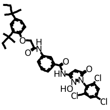 CCC(C)(C)c1ccc(OCC(=O)Nc2cccc(C(=O)Nc3cc(=O)n(-c4c(Cl)cc(Cl)cc4Cl)n3O)c2)c(C(C)(C)CC)c1